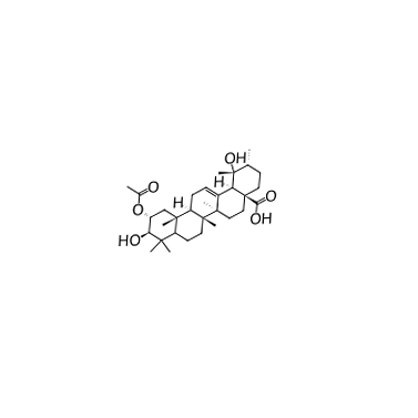 CC(=O)O[C@@H]1C[C@@]2(C)C(CC[C@]3(C)[C@@H]2CC=C2[C@@H]4[C@](C(=O)O)(CC[C@@H](C)[C@@]4(C)O)CC[C@]23C)C(C)(C)[C@H]1O